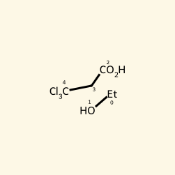 CCO.O=C(O)CC(Cl)(Cl)Cl